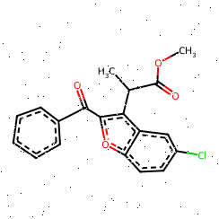 COC(=O)C(C)c1c(C(=O)c2ccccc2)oc2ccc(Cl)cc12